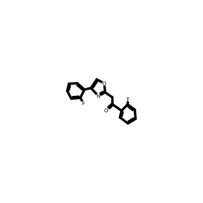 O=C(Cc1nc(-c2ccccc2F)co1)c1ccccc1F